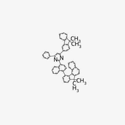 CC1(C)c2ccccc2-c2cc(-c3cc(-c4ccccc4)nc(-c4ccc(-c5cccc6c5-c5c(ccc7ccccc57)C6(C)C)c5ccccc45)n3)ccc21